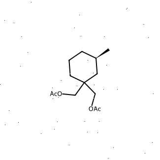 CC(=O)OCC1(COC(C)=O)CCC[C@@H](C)C1